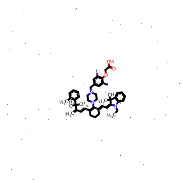 C=C(/C=C/C1=C(N2CCN(Cc3cc(I)c(OCC(=O)O)c(I)c3)CC2)C(=C/C=C2/N(CC)c3ccccc3C2(C)C)/CCC1)C(C)(C)c1ccccc1C